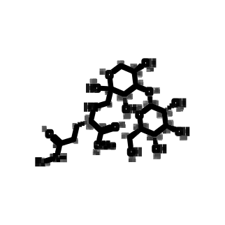 CCNC(=O)CC[C@H](NCC1(O)OC[C@@H](O)C(O[C@H]2O[C@H](CO)[C@@H](O)[C@H](O)[C@H]2O)[C@@H]1O)C(=O)OC